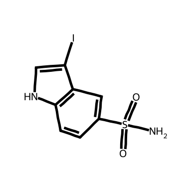 NS(=O)(=O)c1ccc2[nH]cc(I)c2c1